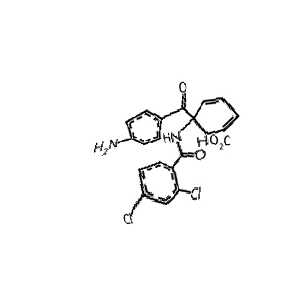 Nc1ccc(C(=O)C2(NC(=O)c3ccc(Cl)cc3Cl)C=CC=CC2C(=O)O)cc1